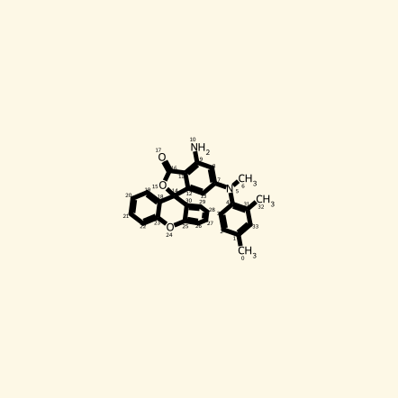 Cc1ccc(N(C)c2cc(N)c3c(c2)C2(OC3=O)c3ccccc3Oc3ccccc32)c(C)c1